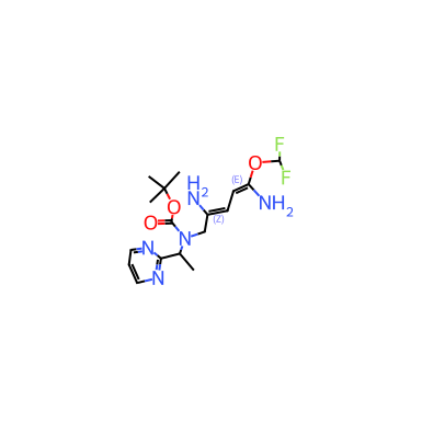 CC(c1ncccn1)N(C/C(N)=C/C=C(\N)OC(F)F)C(=O)OC(C)(C)C